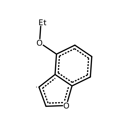 CCOc1cccc2oc[c]c12